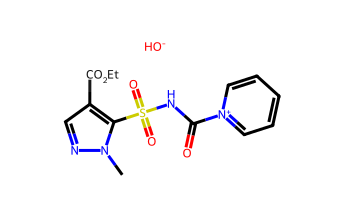 CCOC(=O)c1cnn(C)c1S(=O)(=O)NC(=O)[n+]1ccccc1.[OH-]